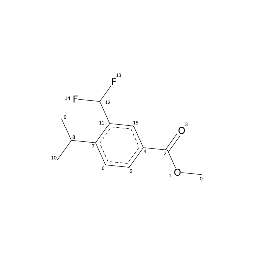 COC(=O)c1ccc(C(C)C)c(C(F)F)c1